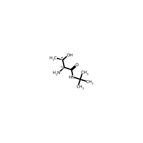 C[C@@H](O)[C@H](N)C(=O)NC(C)(C)C